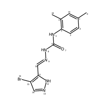 Cc1ccc(NC(=O)N/N=C/c2[nH]ncc2Br)c(C)c1